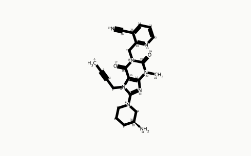 CC#CCn1c(N2CCC[C@H](N)C2)nc2c1c(=O)n(Cc1ncccc1C#N)c(=O)n2C